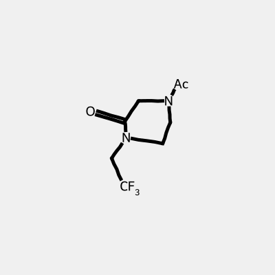 CC(=O)N1CCN(CC(F)(F)F)C(=O)C1